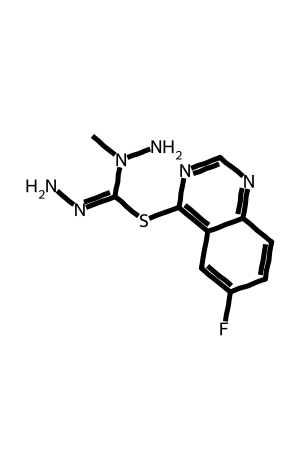 CN(N)/C(=N\N)Sc1ncnc2ccc(F)cc12